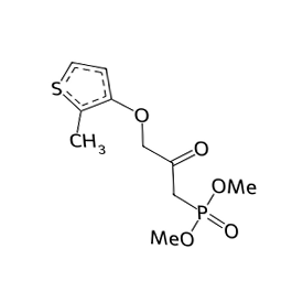 COP(=O)(CC(=O)COc1ccsc1C)OC